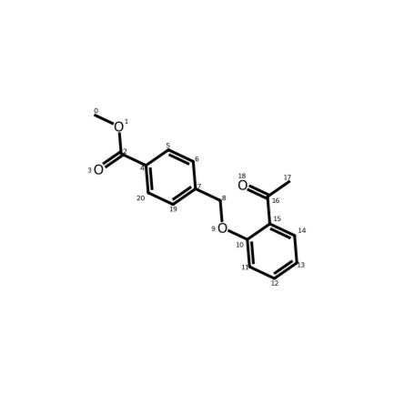 COC(=O)c1ccc(COc2ccccc2C(C)=O)cc1